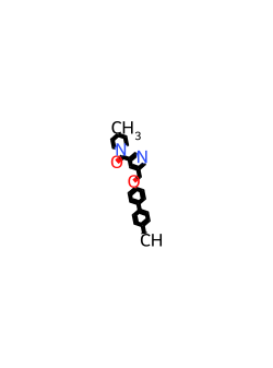 C#Cc1ccc(-c2ccc(OCc3cncc(C(=O)N4CCC(C)CC4)c3)cc2)cc1